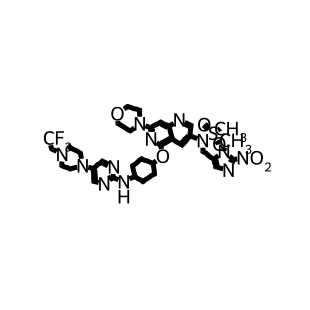 Cn1c(CN(c2cnc3cc(N4CCOCC4)nc(OC4CCC(Nc5ncc(N6CCN(CC(F)(F)F)CC6)cn5)CC4)c3c2)S(C)(=O)=O)cnc1[N+](=O)[O-]